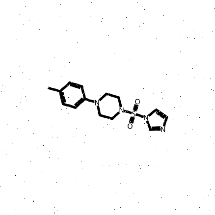 Cc1ccc(N2CCN(S(=O)(=O)n3ccnc3)CC2)cc1